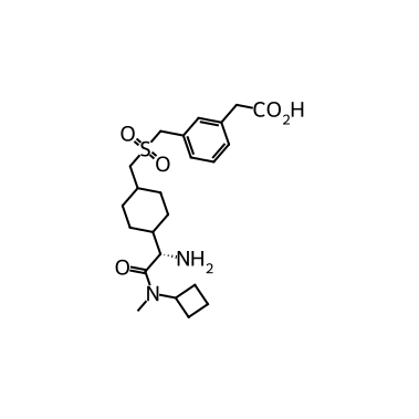 CN(C(=O)[C@@H](N)C1CCC(CS(=O)(=O)Cc2cccc(CC(=O)O)c2)CC1)C1CCC1